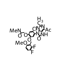 CNC(=O)COc1cc(Cl)c(-n2c(=O)[nH]c3c(C(C)=O)nc(C)nc32)cc1OCc1c(OC)ccc(F)c1F